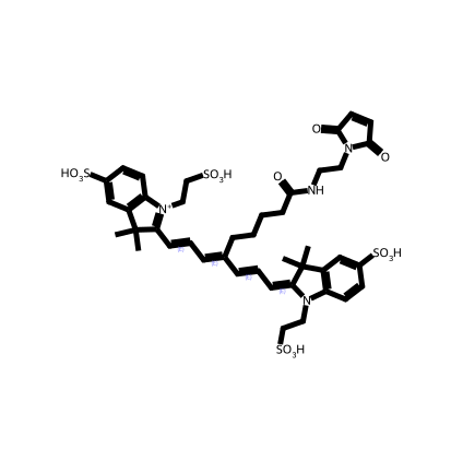 CC1(C)C(/C=C/C=C(/C=C/C=C2/N(CCS(=O)(=O)O)c3ccc(S(=O)(=O)O)cc3C2(C)C)CCCCC(=O)NCCN2C(=O)C=CC2=O)=[N+](CCS(=O)(=O)O)c2ccc(S(=O)(=O)O)cc21